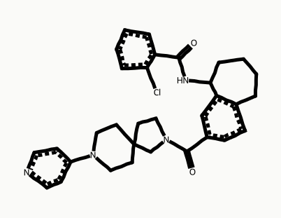 O=C(NC1CCCCc2ccc(C(=O)N3CCC4(CCN(c5ccncc5)CC4)C3)cc21)c1ccccc1Cl